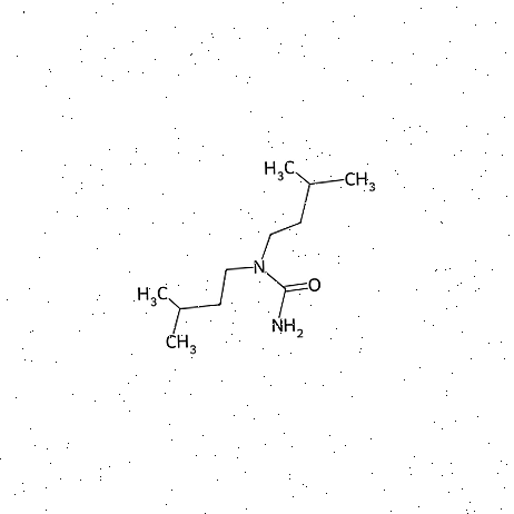 CC(C)CCN(CCC(C)C)C(N)=O